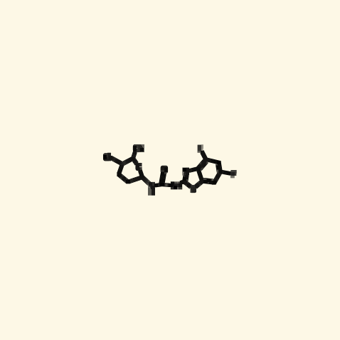 N#CC1CC(NC(=O)Nc2nc3c(F)cc(F)cc3s2)CCC1Cl